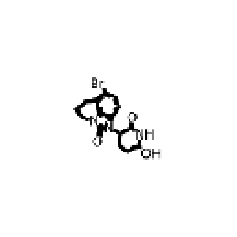 O=C1NC(O)CCC1n1c(=O)n2c3c(c(Br)ccc31)CCC2